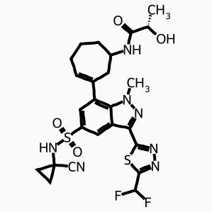 C[C@H](O)C(=O)NC1CCCC=C(c2cc(S(=O)(=O)NC3(C#N)CC3)cc3c(-c4nnc(C(F)F)s4)nn(C)c23)C1